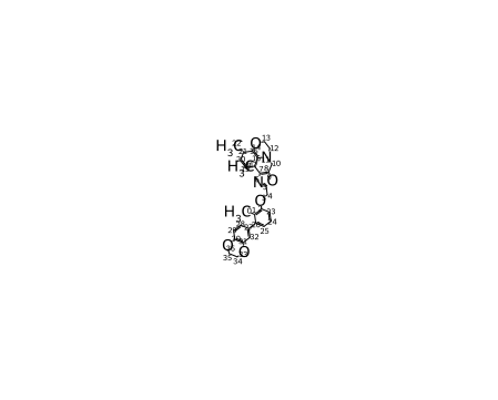 Cc1c(OCc2nc3c(o2)CN2CCOC4=C2C3(C)C=CC4C)cccc1-c1ccc2c(c1)OCCO2